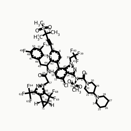 CC(C)(C#Cc1ccc(-c2ccc(Cl)c3c(N(C(=O)N4CCC(N5CCCCC5)CC4)S(C)(=O)=O)nn(CC(F)(F)F)c23)c(C(Cc2cc(F)cc(F)c2)NC(=O)Cn2nc(C(F)(F)F)c3c2C(F)(F)[C@@H]2C[C@H]32)n1)S(C)(=O)=O